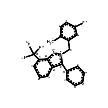 Cc1ccc(F)cc1Cn1nc2c(C(F)(F)F)cccc2c1-c1ccccc1